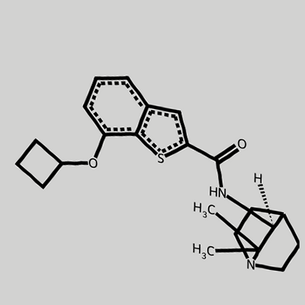 CC1(C)[C@@H](NC(=O)c2cc3cccc(OC4CCC4)c3s2)C2CCN1CC2